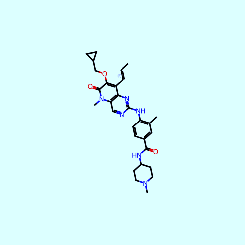 C/C=C/c1c(OCC2CC2)c(=O)n(C)c2cnc(Nc3ccc(C(=O)NC4CCN(C)CC4)cc3C)nc12